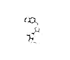 CC1CN(Cc2ccc3nccnc3c2)CC1c1nc2c(cnn2C(C)C)c(=O)[nH]1